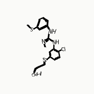 CN=C(Nc1cccc(SC)c1)Nc1cc(SCCO)ccc1Cl